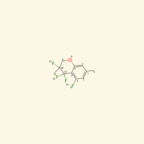 Cc1cc(F)c2c(c1)OCC(C)(F)C2(F)F